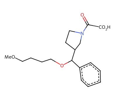 COCCCCOC(c1ccccc1)C1CCN(C(=O)C(=O)O)C1